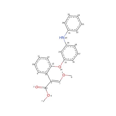 CO/C=C(/C(=O)OC)c1ccccc1Oc1cccc(Nc2ccccc2)c1